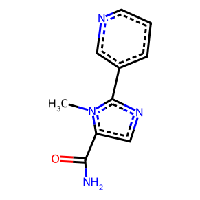 Cn1c(C(N)=O)cnc1-c1cccnc1